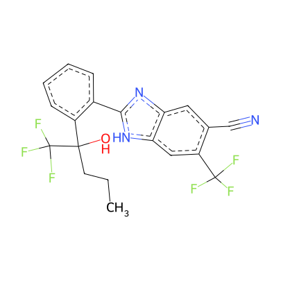 CCCC(O)(c1ccccc1-c1nc2cc(C#N)c(C(F)(F)F)cc2[nH]1)C(F)(F)F